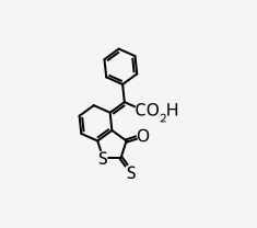 O=C(O)C(=C1CC=CC2=C1C(=O)C(=S)S2)c1ccccc1